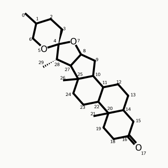 CC1CC[C@@]2(OC1)OC1CC3C4CCC5CC(=O)CCC5(C)C4CCC3(C)C1[C@@H]2C